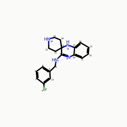 Brc1cccc(CNC2=Nc3ccccc3NC23CCNCC3)c1